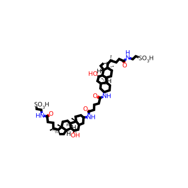 C[C@H](CCC(=O)NCCS(=O)(=O)O)[C@H]1CC[C@H]2C3[C@@H](O)CC4CC(NC(=O)CCCC(=O)NC5CC[C@]6(C)C(C5)C[C@@H](O)C5[C@H]7CC[C@@H]([C@@H](C)CCC(=O)NCCS(=O)(=O)O)[C@]7(C)CC[C@H]56)CC[C@]4(C)[C@H]3CC[C@]12C